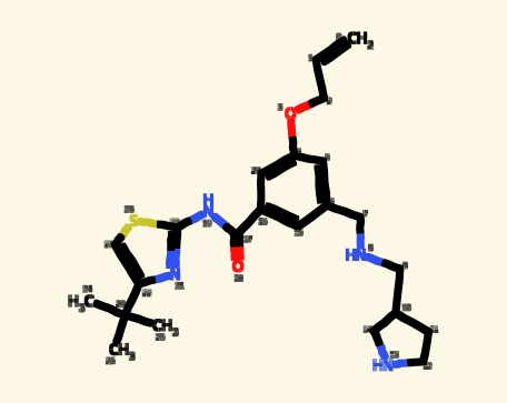 C=CCOc1cc(CNCC2CCNC2)cc(C(=O)Nc2nc(C(C)(C)C)cs2)c1